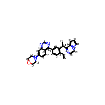 C=Cc1ccc(-c2ncnc3cc(N4CCOCC4)ccc23)cc1C(C)c1nccn2cccc12